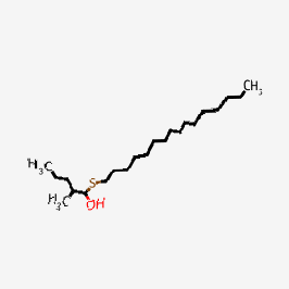 CCCCCCCCCCCCCCCCSC(O)C(C)CCC